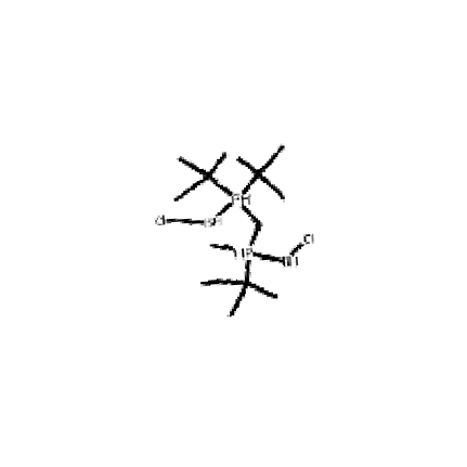 CC(C)(C)[PH](C)(BCl)C[PH](BCl)(C(C)(C)C)C(C)(C)C